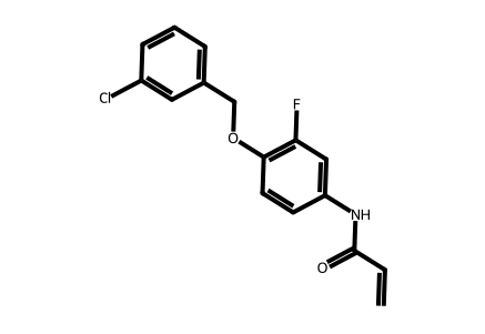 C=CC(=O)Nc1ccc(OCc2cccc(Cl)c2)c(F)c1